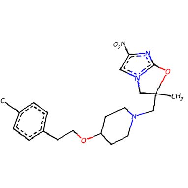 CC1(CN2CCC(OCCc3ccc(C(F)(F)F)cc3)CC2)Cn2cc([N+](=O)[O-])nc2O1